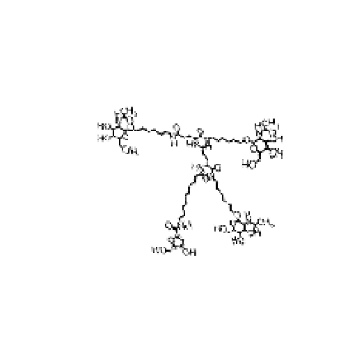 CC(=O)NC1C(OCCCCCCNC(=O)CCC(NC(=O)CCC(NC(=O)CCCCCCCCCNC(=O)[C@H]2C[C@@H](O)[C@H](CO)O2)C(=O)NCCCCCCOC2OC(CO)C(O)C(O)C2NC(C)=O)C(=O)NCCCCCCOC2OC(CO)C(O)C(O)C2NC(C)=O)OC(CO)C(O)C1O